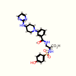 O=C(NC[C@H](NS(=O)(=O)c1ccc(O)cc1)C(=O)O)c1cccc(N2CCC(Nc3ncccn3)CC2)c1